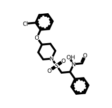 O=CN(O)C(CS(=O)(=O)N1CCC(Oc2ccccc2Cl)CC1)c1ccccc1